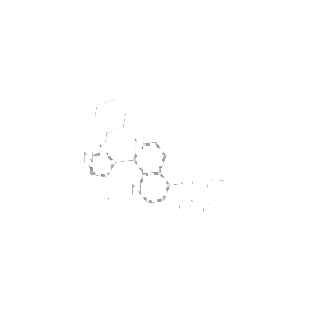 O=S(=O)(Oc1ccnc2c(-c3ccnn3C3CCCCO3)nccc12)C(F)(F)F.[Ar]